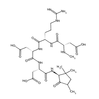 CN[C@@H](CC(=O)O)C(=O)N[C@@H](CCCNC(=N)N)C(=O)N[C@@H](CC(=O)O)C(=O)N[C@@H](CC(=O)O)C(=O)N[C@@H]1C(=O)C(C)CC1(C)C